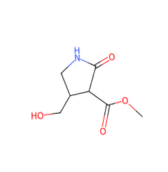 COC(=O)C1C(=O)NCC1CO